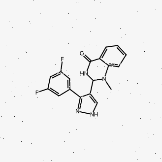 CN1c2ccccc2C(=O)NC1c1c[nH]nc1-c1cc(F)cc(F)c1